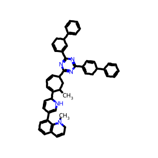 CC1CC(c2nc(C3=CCC(c4ccccc4)C=C3)nc(C3=CC(c4ccccc4)CC=C3)n2)C=CC=C1C1C=CC(c2cccc3c2N(C)CC=C3)=CN1